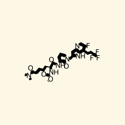 COC(=O)N[C@@H](CC/C=C/C(=O)N(C)C)C(=O)Nc1cccn(Cc2cc3ncc(F)c(CCC(F)(F)F)c3[nH]2)c1=O